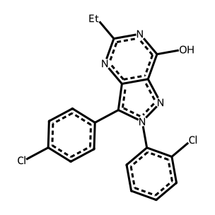 CCc1nc(O)c2nn(-c3ccccc3Cl)c(-c3ccc(Cl)cc3)c2n1